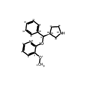 COc1cccnc1OC(c1ccccc1)[C@H]1CCNC1